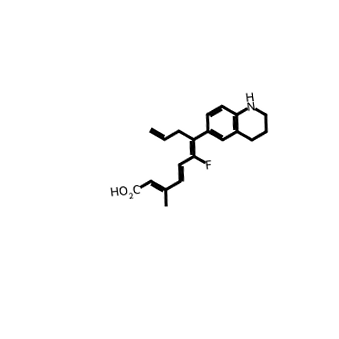 C=CCC(=C(F)C=CC(C)=CC(=O)O)c1ccc2c(c1)CCCN2